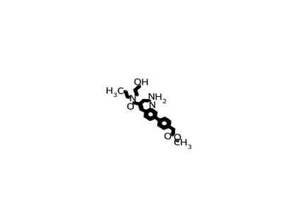 CCCN(CCCO)C(=O)C1=Cc2ccc(-c3ccc(CC(=O)OC)cc3)cc2N=C(N)C1